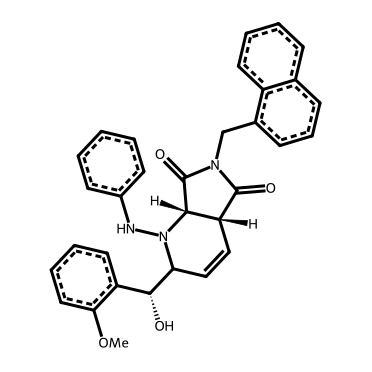 COc1ccccc1[C@@H](O)C1C=C[C@H]2C(=O)N(Cc3cccc4ccccc34)C(=O)[C@H]2N1Nc1ccccc1